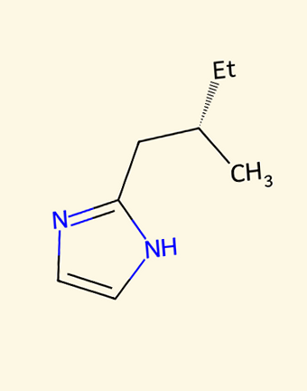 [CH2]C[C@H](C)Cc1ncc[nH]1